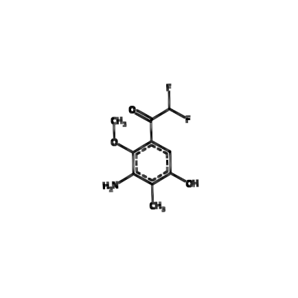 COc1c(C(=O)C(F)F)cc(O)c(C)c1N